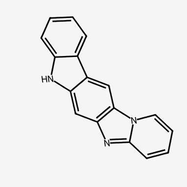 c1ccc2c(c1)[nH]c1cc3nc4ccccn4c3cc12